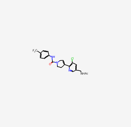 CC(=O)NCc1cnc(C2=CCN(C(=O)Nc3ccc(C(F)(F)F)cc3)CC2)c(Cl)c1